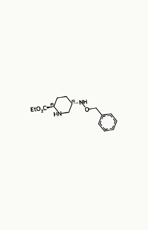 CCOC(=O)[C@H]1CC[C@H](NOCc2ccccc2)CN1